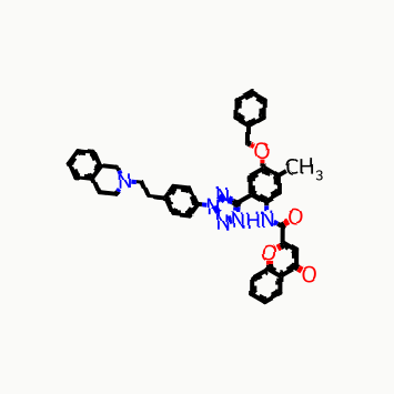 Cc1cc(NC(=O)c2cc(=O)c3ccccc3o2)c(-c2nnn(-c3ccc(CCN4CCc5ccccc5C4)cc3)n2)cc1OCc1ccccc1